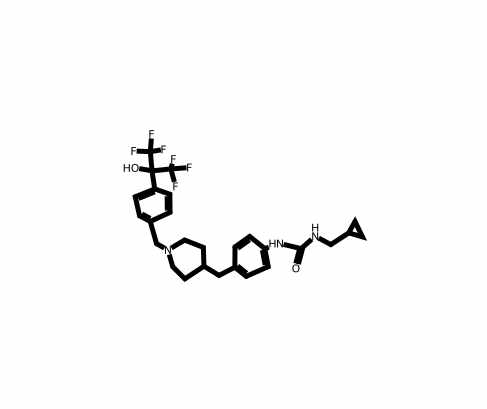 O=C(NCC1CC1)Nc1ccc(CC2CCN(Cc3ccc(C(O)(C(F)(F)F)C(F)(F)F)cc3)CC2)cc1